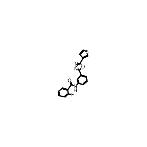 O=C(Nc1cccc(-c2nnc(-c3ccsc3)o2)c1)c1ccccc1F